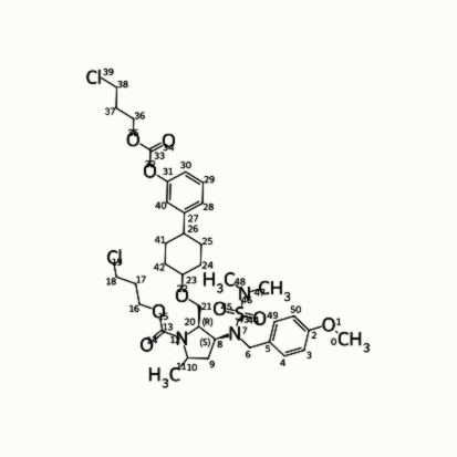 COc1ccc(CN([C@H]2CC(C)N(C(=O)OCCCCl)[C@H]2COC2CCC(c3cccc(OC(=O)OCCCCl)c3)CC2)S(=O)(=O)N(C)C)cc1